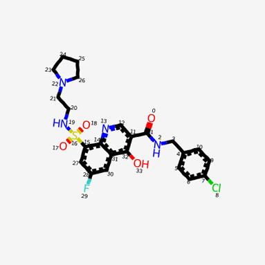 O=C(NCc1ccc(Cl)cc1)c1cnc2c(S(=O)(=O)NCCN3CCCC3)cc(F)cc2c1O